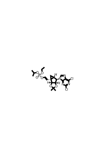 CCOP(=O)(O/C=C/[C@]12C[C@@H]1[C@@H](n1cnc3c(Cl)nc(Cl)nc31)[C@@H]1OC(C)(C)O[C@@H]12)OC(C)C